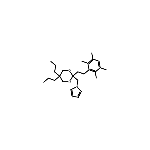 CCCC1(CCC)COC(CCc2c(C)c(C)cc(C)c2C)(Cn2ccnc2)OC1